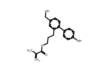 C=C(C)C(=O)OCCCc1cc(CO)ccc1-c1ccc(CCC)cc1